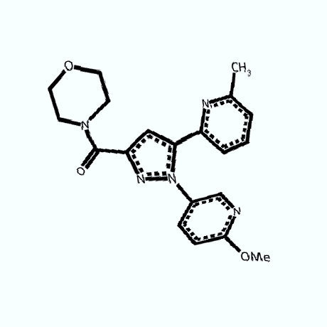 COc1ccc(-n2nc(C(=O)N3CCOCC3)cc2-c2cccc(C)n2)cn1